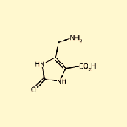 NCc1[nH]c(=O)[nH]c1C(=O)O